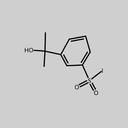 CC(C)(O)c1cccc(S(=O)(=O)I)c1